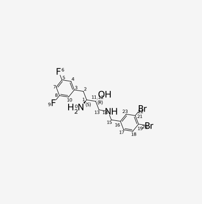 N[C@@H](Cc1cc(F)cc(F)c1)[C@H](O)CNCc1ccc(Br)c(Br)c1